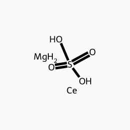 O=S(=O)(O)O.[Ce].[MgH2]